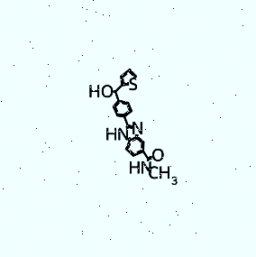 CNC(=O)c1ccc2[nH]c(-c3ccc(C(O)c4cccs4)cc3)nc2c1